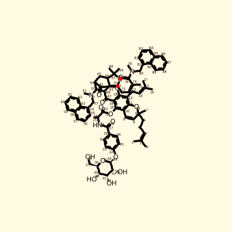 CC(C)=CCCC1(C)C=Cc2c(c(CC=C(C)C)c3c(c2OC(=O)C(C)NC(=O)c2ccc(O[C@@H]4O[C@H](CO)[C@@H](O)[C@@H](O)[C@H]4O)cc2)C(=O)C2C(N(C)Cc4cccc5ccccc45)C4CC5C(C)(C)OC(C/C=C(/C)C(=O)N(C)Cc6cccc7ccccc67)(C4=O)C25O3)O1